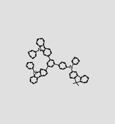 CC1(C)c2ccccc2-c2cc(N(c3ccccc3)c3ccc(-c4cc(-c5ccc6c7ccccc7n(-c7ccccc7)c6c5)cc(-c5ccc6c7ccccc7n(-c7ccccc7)c6c5)c4)cc3)ccc21